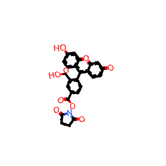 O=C(ON1C(=O)CCC1=O)c1ccc(-c2c3ccc(=O)cc-3oc3cc(O)ccc23)c(C(=O)O)c1